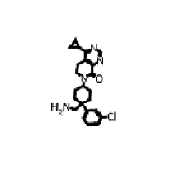 NCC1(c2cccc(Cl)c2)CCC(N2CCc3c(ncnc3C3CC3)C2=O)CC1